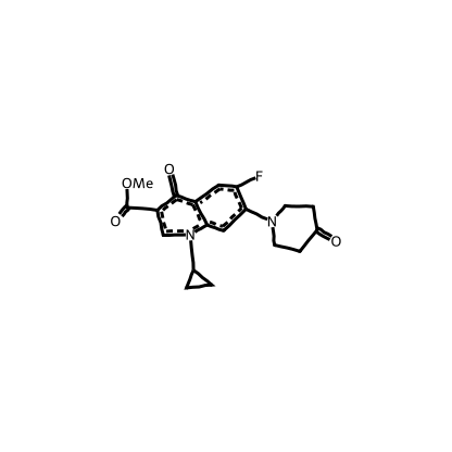 COC(=O)c1cn(C2CC2)c2cc(N3CCC(=O)CC3)c(F)cc2c1=O